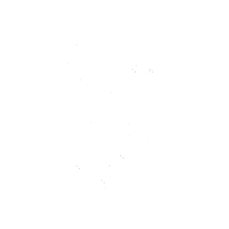 C[C@@H](c1ccccc1)n1ncc2cc(S(=O)(=O)Nc3ncns3)c(F)cc21